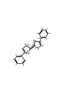 C1=C(c2ccccc2)S/C(=C2\SC=C(c3ccccc3)S2)S1